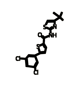 CC(C)(C)c1csc(NC(=O)c2ccc(-c3cc(Cl)cc(Cl)c3)s2)n1